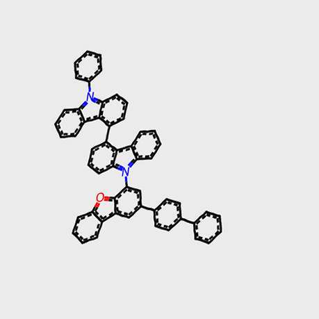 c1ccc(-c2ccc(-c3cc(-n4c5ccccc5c5c(-c6cccc7c6c6ccccc6n7-c6ccccc6)cccc54)c4oc5ccccc5c4c3)cc2)cc1